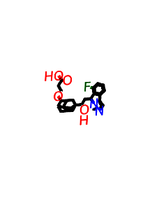 O=C(O)CCOC1C2CC3CC1CC(C(O)CC1c4c(F)cccc4-c4cncn41)(C3)C2